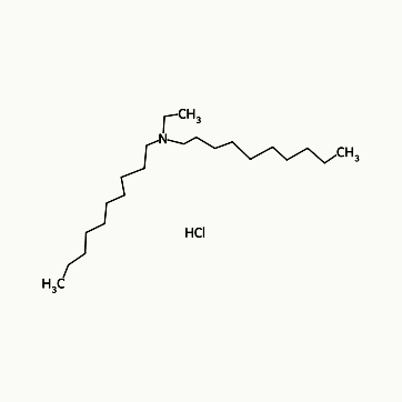 CCCCCCCCCCN(CC)CCCCCCCCCC.Cl